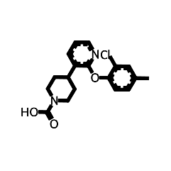 Cc1ccc(Oc2ncccc2C2CCN(C(=O)O)CC2)c(Cl)c1